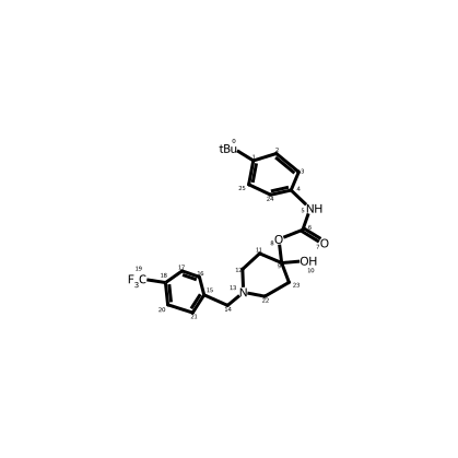 CC(C)(C)c1ccc(NC(=O)OC2(O)CCN(Cc3ccc(C(F)(F)F)cc3)CC2)cc1